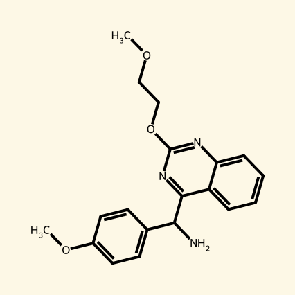 COCCOc1nc(C(N)c2ccc(OC)cc2)c2ccccc2n1